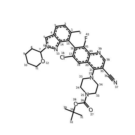 Cc1ccc2cn(C3CCCCO3)nc2c1-c1c(Cl)cc2c(N3CCN(C(=O)OC(C)(C)C)CC3)c(C#N)cnc2c1F